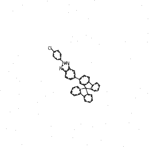 Clc1ccc(-n2nc3ccc(-c4ccc5c(c4)C4(c6ccccc6-c6ccccc64)c4ccccc4-5)cc3n2)cc1